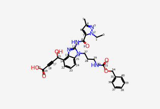 CCn1nc(C)cc1C(=O)Nc1nc2c(C(O)C#CC(=O)O)cccc2n1CCCNC(=O)OCc1ccccc1